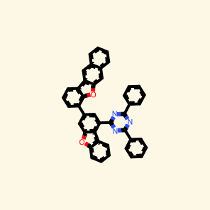 c1ccc(-c2nc(-c3ccccc3)nc(-c3cc(-c4cccc5c4oc4cc6ccccc6cc45)cc4oc5ccccc5c34)n2)cc1